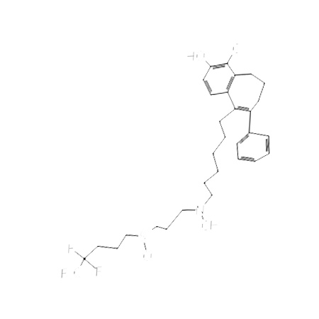 CN(CCCCCCC1=C(c2ccccc2)CCCc2c1ccc(O)c2Cl)CCC[S+]([O-])CCCC(F)(F)C(F)(F)F